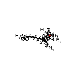 COCC(CC(CC(COC)ON)(OC(=O)CCCCCCCCC(=O)OC(C)=O)C(COC)ON)ON